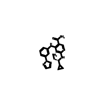 NC[C@H](Nc1ncc(C(N)=O)c(Nc2cccc(-n3nccn3)c2)n1)C1CC1